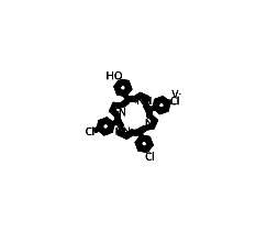 Oc1ccc(-c2c3nc(c(-c4ccc(Cl)cc4)c4ccc([nH]4)c(-c4ccc(Cl)cc4)c4nc(c(-c5ccc(Cl)cc5)c5ccc2[nH]5)C=C4)C=C3)cc1.[V]